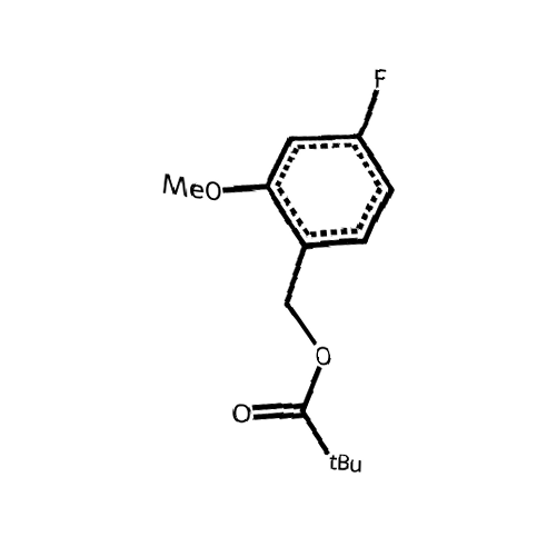 COc1cc(F)ccc1COC(=O)C(C)(C)C